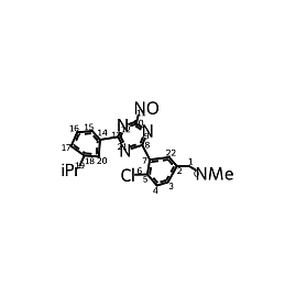 CNCc1ccc(Cl)c(-c2nc(N=O)nc(-c3cccc(C(C)C)c3)n2)c1